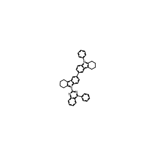 c1ccc(-c2nc(-n3c4c(c5cc(-c6ccc7c(c6)c6c(n7-c7ccccc7)CCCC6)ccc53)CCCC4)nc3ccccc23)cc1